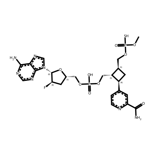 COP(=O)(S)OC[C@H]1C[C@@H](c2ccnc(C(N)=O)c2)[C@@H]1COP(=O)(O)OC[C@@H]1C[C@@H](F)[C@H](n2cnc3c(N)ncnc32)O1